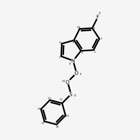 Fc1ccc2c(ccn2OOSc2ccccc2)c1